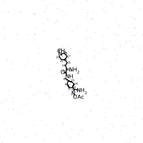 CC(=O)O/N=C(\N)c1ccc(CNC(=O)[C@@H](N)CCC2CCN(C)CC2)cc1